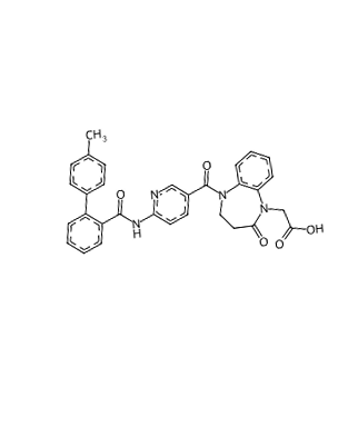 Cc1ccc(-c2ccccc2C(=O)Nc2ccc(C(=O)N3CCC(=O)N(CC(=O)O)c4ccccc43)cn2)cc1